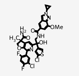 COc1cc(C(=O)NCC(O)(c2csc(Cl)c2)c2cc3c(c(-c4cc(Cl)c(F)cc4F)n2)OC[C@]3(C)C(N)=O)cc2cn(C3CC3)nc12